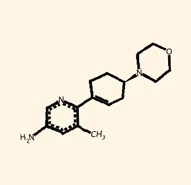 Cc1cc(N)cnc1C1=CC[C@H](N2CCOCC2)CC1